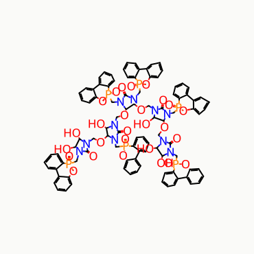 O=C1N(COC2C(O)N(COC3C(OCN4C(=O)N(CP5(=O)Oc6ccccc6-c6ccccc65)C(OCN5C(=O)N(CP6(=O)Oc7ccccc7-c7ccccc76)C(O)C5O)C4O)N(CP4(=O)Oc5ccccc5-c5ccccc54)C(=O)N3CP3(=O)Oc4ccccc4-c4ccccc43)C(=O)N2CP2(=O)Oc3ccccc3-c3ccccc32)C(O)C(O)N1CP1(=O)Oc2ccccc2-c2ccccc21